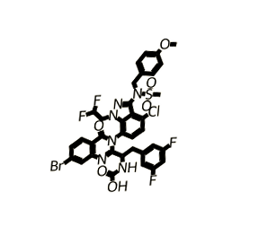 COc1ccc(CN(c2nn(CC(F)F)c3c(-n4c(C(Cc5cc(F)cc(F)c5)NC(=O)O)nc5cc(Br)ccc5c4=O)ccc(Cl)c23)S(C)(=O)=O)cc1